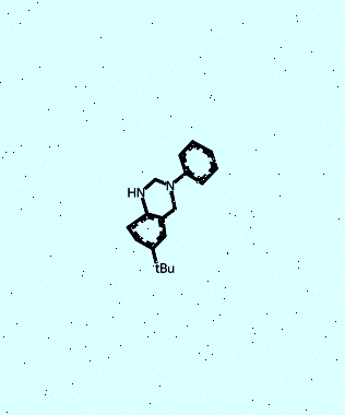 CC(C)(C)c1ccc2c(c1)CN(c1ccccc1)CN2